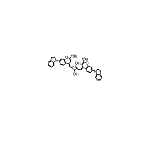 CC(C)(C)C1=CC(=Cc2c(O)[c+](C=C3C=C(C(C)(C)C)Oc4cc(N5CCc6ccccc65)ccc43)[c+]2O)c2ccc(N3CCc4ccccc43)cc2O1